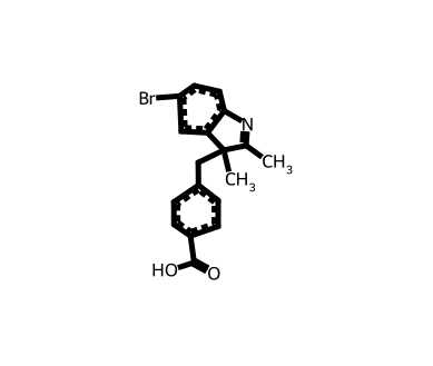 CC1=Nc2ccc(Br)cc2C1(C)Cc1ccc(C(=O)O)cc1